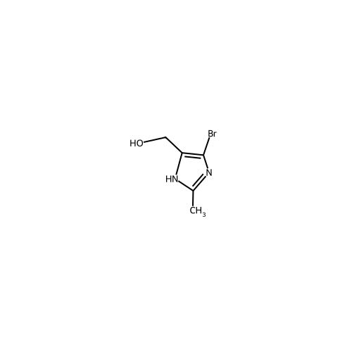 Cc1nc(Br)c(CO)[nH]1